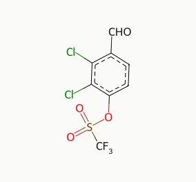 O=Cc1ccc(OS(=O)(=O)C(F)(F)F)c(Cl)c1Cl